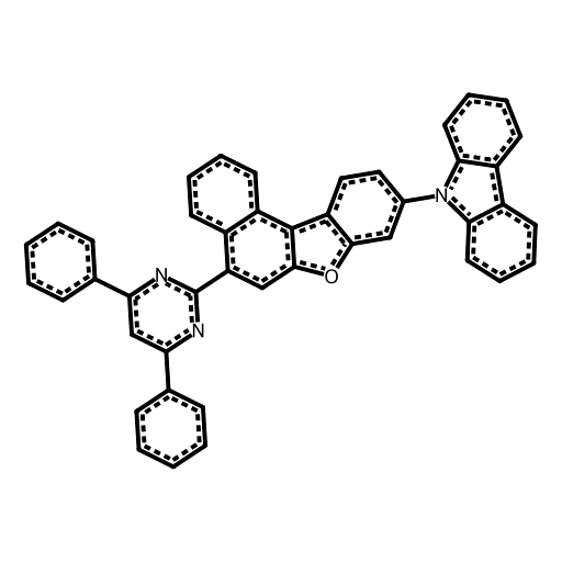 c1ccc(-c2cc(-c3ccccc3)nc(-c3cc4oc5cc(-n6c7ccccc7c7ccccc76)ccc5c4c4ccccc34)n2)cc1